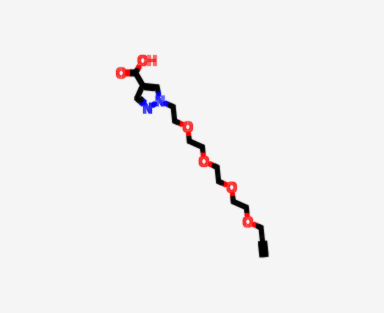 C#CCOCCOCCOCCOCCn1cc(C(=O)O)cn1